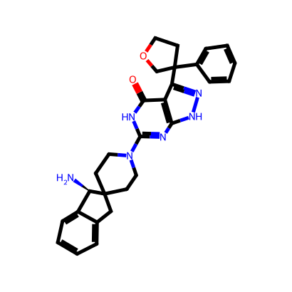 N[C@@H]1c2ccccc2CC12CCN(c1nc3[nH]nc(C4(c5ccccc5)CCOC4)c3c(=O)[nH]1)CC2